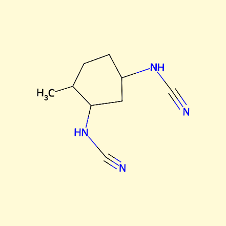 CC1CCC(NC#N)CC1NC#N